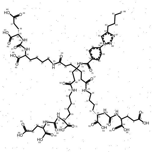 O=C(O)CCC(NC(=O)N[C@@H](CCCCNC(=O)CCC(CCC(=O)NCCCCC(NC(=O)N[C@@H](CCC(=O)O)C(=O)O)C(=O)O)(CCC(=O)NCCCC[C@H](NC(=O)NC(CCC(=O)O)C(=O)O)C(=O)O)NC(=O)c1ccc(-n2cc(CCCF)nn2)cc1)C(=O)O)C(=O)O